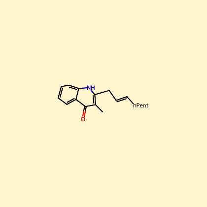 CCCCCC=CCc1[nH]c2ccccc2c(=O)c1C